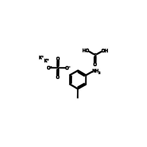 Cc1cccc(N)c1.O=S(=O)([O-])[O-].O=S(O)O.[K+].[K+]